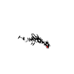 CC(NCCCN)c1ccc(SCCCc2ccccc2)cc1